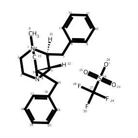 C[N+]12CCN(C[C@@H]1Cc1ccccc1)[C@@H](Cc1ccccc1)C2.O=S(=O)([O-])C(F)(F)F